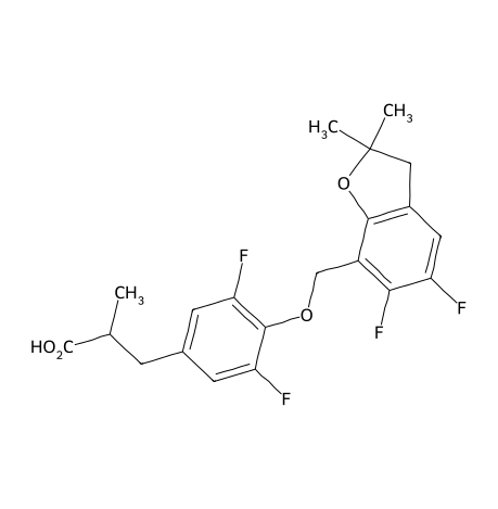 CC(Cc1cc(F)c(OCc2c(F)c(F)cc3c2OC(C)(C)C3)c(F)c1)C(=O)O